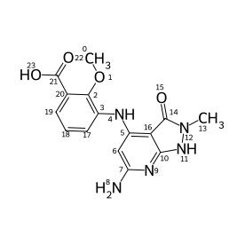 COc1c(Nc2cc(N)nc3[nH]n(C)c(=O)c23)cccc1C(=O)O